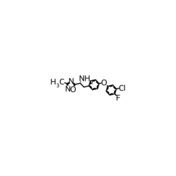 Cc1noc([C@H](N)Cc2ccc(Oc3ccc(F)c(Cl)c3)cc2)n1